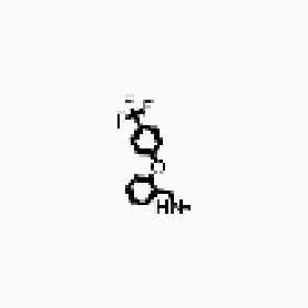 CNCc1ccccc1Oc1ccc(C(F)(F)F)cc1